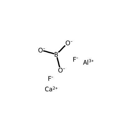 [Al+3].[Ca+2].[F-].[F-].[O-]B([O-])[O-]